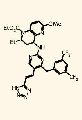 CCOC(=O)N1c2ccc(OC)nc2[C@@H](Nc2ncc(C=Cc3nnn[nH]3)c(Cc3cc(C(F)(F)F)cc(C(F)(F)F)c3)n2)C[C@H]1CC